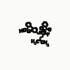 CC(C)CCc1c(F)n(C(=O)c2ccccc2)c(=O)n1Cc1ccc(-c2ccccc2C(=O)O)cc1